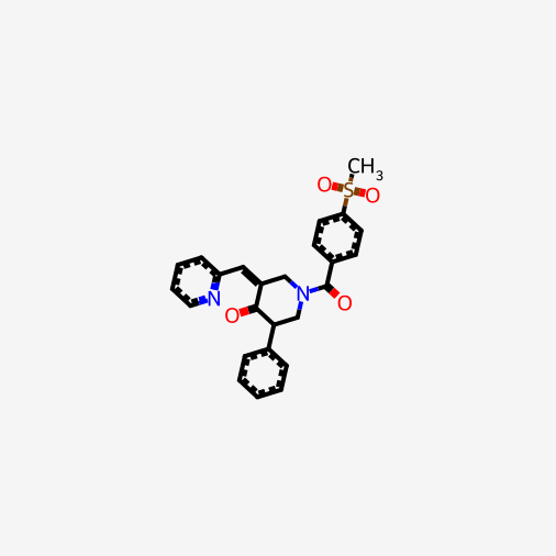 CS(=O)(=O)c1ccc(C(=O)N2C/C(=C/c3ccccn3)C(=O)C(c3ccccc3)C2)cc1